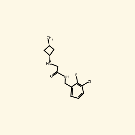 C[C@H]1C[C@@H](NCC(=O)NCc2cccc(Cl)c2F)C1